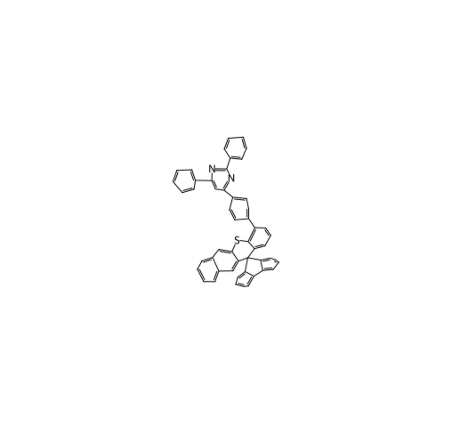 c1ccc(-c2cc(-c3ccc(-c4cccc5c4Sc4cc6ccccc6cc4C54c5ccccc5-c5ccccc54)cc3)nc(-c3ccccc3)n2)cc1